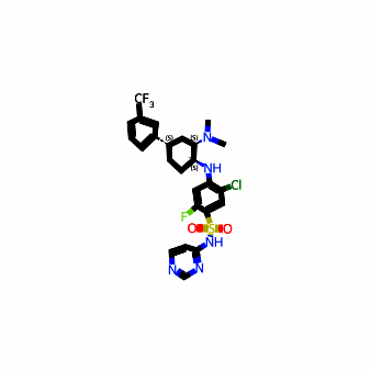 CN(C)[C@H]1C[C@@H](c2cccc(C(F)(F)F)c2)CC[C@@H]1Nc1cc(F)c(S(=O)(=O)Nc2ccncn2)cc1Cl